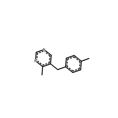 Cc1ccc(Cc2[c]ncnc2C)cc1